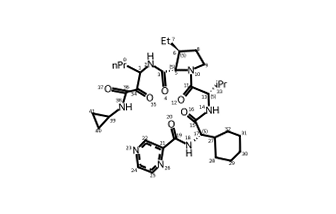 CCCC(NC(=O)[C@@H]1[C@@H](CC)CCN1C(=O)[C@@H](NC(=O)[C@@H](NC(=O)c1cnccn1)C1CCCCC1)C(C)C)C(=O)C(=O)NC1CC1